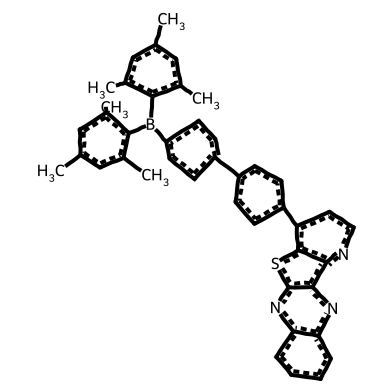 Cc1cc(C)c(B(c2ccc(-c3ccc(-c4ccnc5c4sc4nc6ccccc6nc45)cc3)cc2)c2c(C)cc(C)cc2C)c(C)c1